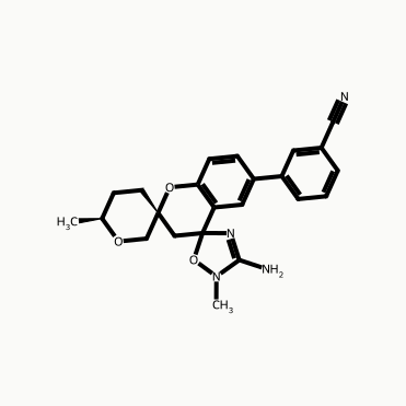 C[C@H]1CC[C@]2(CO1)CC1(N=C(N)N(C)O1)c1cc(-c3cccc(C#N)c3)ccc1O2